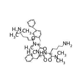 CN(C)C(=O)[C@H](CCCCN)NC(=O)[C@@H](Cc1ccccc1)N(C)C(=O)[C@@H](Cc1ccc(-c2ccccc2)cc1)N(C)C(=O)C=CCC(C)(C)N